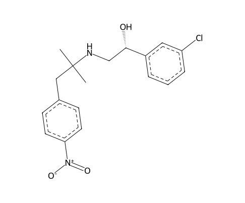 CC(C)(Cc1ccc([N+](=O)[O-])cc1)NC[C@H](O)c1cccc(Cl)c1